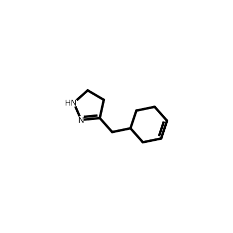 C1=CCC(CC2=NNCC2)CC1